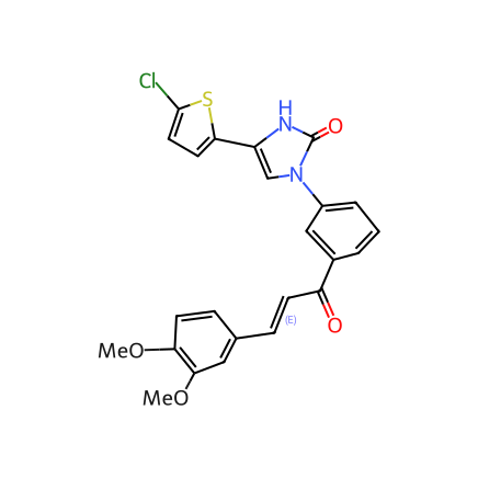 COc1ccc(/C=C/C(=O)c2cccc(-n3cc(-c4ccc(Cl)s4)[nH]c3=O)c2)cc1OC